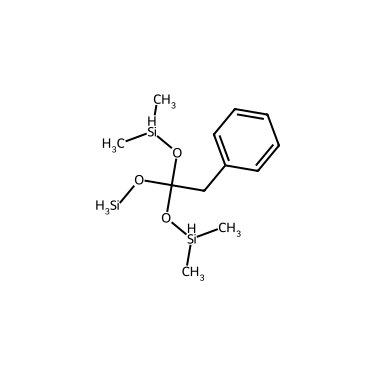 C[SiH](C)OC(Cc1ccccc1)(O[SiH3])O[SiH](C)C